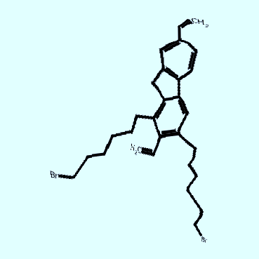 C=Cc1ccc2c(c1)Cc1c-2cc(CCCCCCBr)c(C=C)c1CCCCCCBr